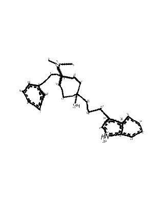 CN(C)C1(Cc2ccccc2)CCC(O)(CCCc2c[nH]c3ccccc23)CC1